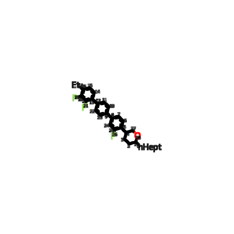 CCCCCCCC1CCC(c2ccc(-c3ccc(-c4ccc(CC)c(F)c4F)cc3)cc2F)CO1